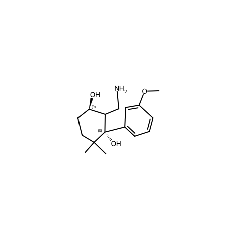 COc1cccc([C@]2(O)C(CN)[C@H](O)CCC2(C)C)c1